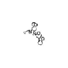 Cc1oc2ccccc2c1CC(=O)N(C)[C@@H]1CC[C@@]2(CCCO2)C[C@H]1N(C)CC1CC1